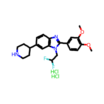 COc1ccc(-c2nc3ccc(C4CCNCC4)cc3n2CC(F)F)cc1OC.Cl.Cl